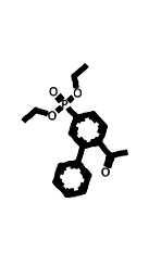 CCOP(=O)(OCC)c1ccc(C(C)=O)c(-c2ccccc2)c1